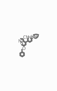 N#Cc1cnn2cc(OCc3ccccc3)cc(-c3ccc(N4CC5CC(C4)N5)nc3)c12